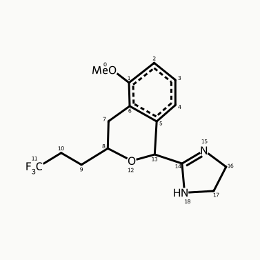 COc1cccc2c1CC(CCC(F)(F)F)OC2C1=NCCN1